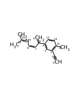 C#Cc1cc(C(=C)/C=C\N=C(C)C)ccc1C